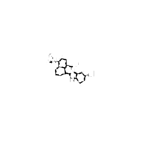 O=c1c2ccc([N+](=O)[O-])c3cccc(c32)c2nc3ccc(Cl)cc3n12